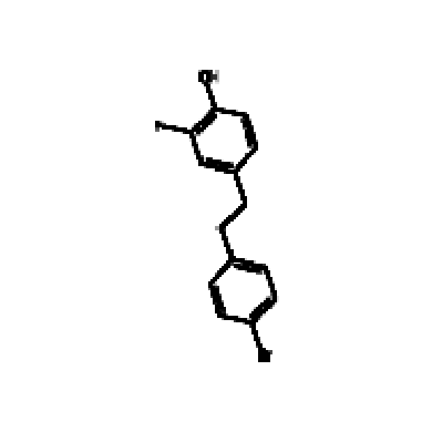 Oc1ccc(C[CH]c2ccc(Br)cc2)cc1F